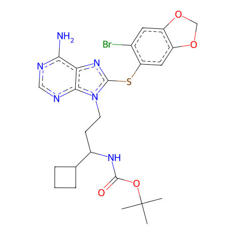 CC(C)(C)OC(=O)NC(CCn1c(Sc2cc3c(cc2Br)OCO3)nc2c(N)ncnc21)C1CCC1